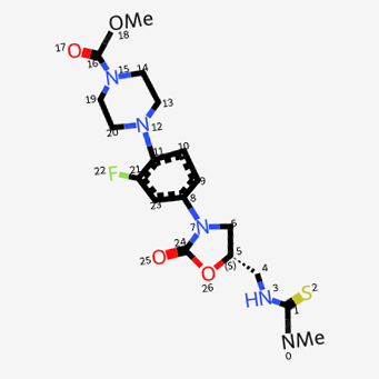 CNC(=S)NC[C@H]1CN(c2ccc(N3CCN(C(=O)OC)CC3)c(F)c2)C(=O)O1